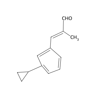 C/C(C=O)=C\c1cccc(C2CC2)c1